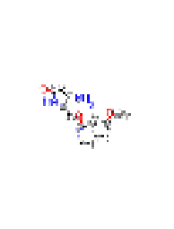 CC(C)Oc1ccc2ccnc(OC[C@H]3NC(=O)C[C@@H]3N)c2c1